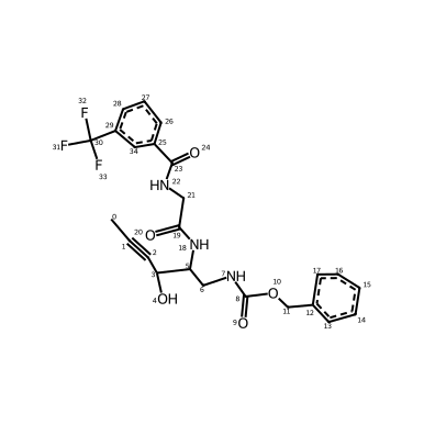 CC#CC(O)C(CNC(=O)OCc1ccccc1)NC(=O)CNC(=O)c1cccc(C(F)(F)F)c1